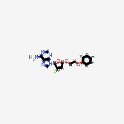 Nc1ncnc2c1ncn2[C@@H]1O[C@H](OCCOc2ccccc2)C=C1F